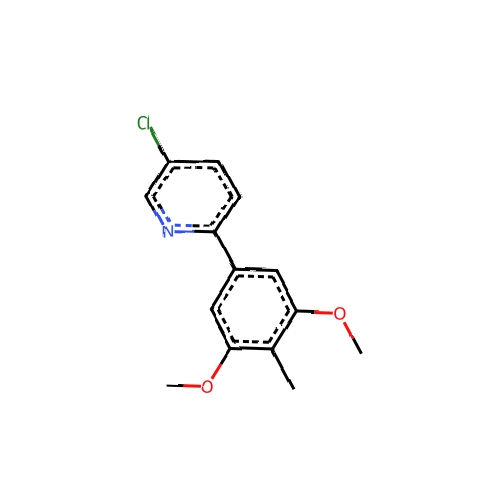 COc1cc(-c2ccc(Cl)cn2)cc(OC)c1C